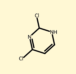 ClC1=NC(Cl)NC=C1